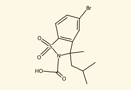 CC(C)CC1(C)c2cc(Br)ccc2S(=O)(=O)N1C(=O)O